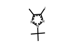 Cc1nn(C(C)(C)C)nc1I